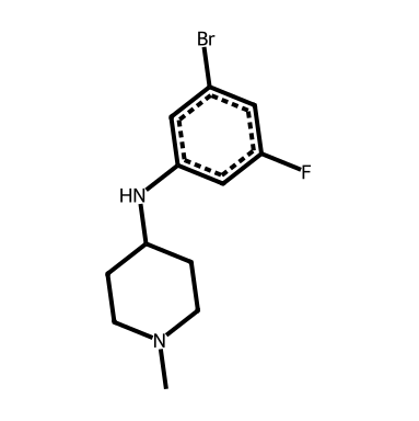 CN1CCC(Nc2cc(F)cc(Br)c2)CC1